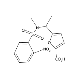 CC(c1ccc(C(=O)O)o1)N(C)S(=O)(=O)c1ccccc1[N+](=O)[O-]